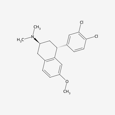 COc1ccc2c(c1)[C@@H](c1ccc(Cl)c(Cl)c1)C[C@H](N(C)C)C2